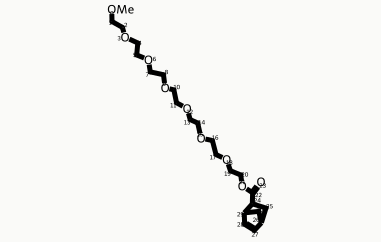 COCCOCCOCCOCCOCCOCCOCCOC(=O)C1CC2C=CC1C2